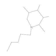 CCCCCN1CC(C)C(C)C(C)C1C